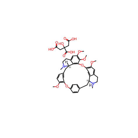 COc1ccc2cc1Oc1ccc(cc1)C[C@H]1c3cc(c(OC)cc3CCN1C)Oc1c(OC)c(OC)cc3c1[C@H](C2)N(C)CC3.O=C(O)CC(O)(CC(=O)O)C(=O)O